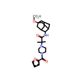 CC(C)(C(=O)NC1C2CC3CC1CC(OC(=O)O)(C3)C2)N1CCN(C(=O)c2ccco2)CC1